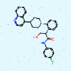 O=C(Nc1ccc(Cl)cc1)C(CO)c1ccccc1C1CCC(c2ccnc3ccccc23)CC1